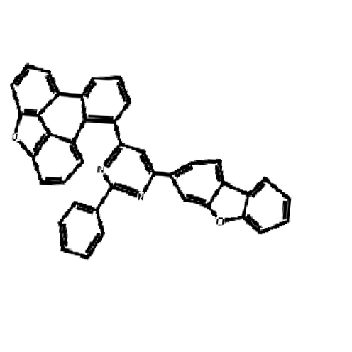 c1ccc(-c2nc(-c3ccc4c(c3)oc3ccccc34)cc(-c3cccc4c5cccc6oc7cccc(c34)c7c65)n2)cc1